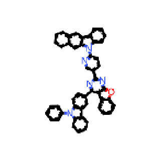 c1ccc(-n2c3ccccc3c3cc(-c4nc(-c5ccc(-n6c7ccccc7c7cc8ccccc8cc76)nc5)nc5oc6ccccc6c45)ccc32)cc1